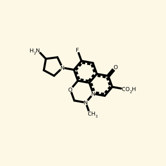 CN1COc2c(N3CCC(N)C3)c(F)cc3c(=O)c(C(=O)O)cn1c23